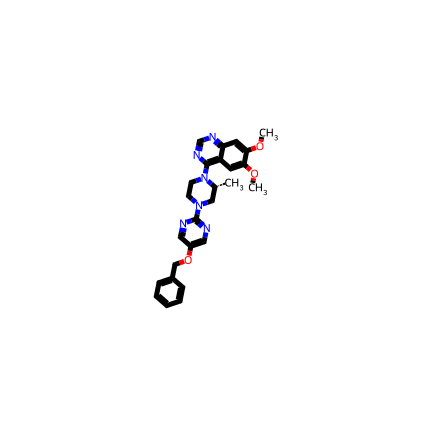 COc1cc2ncnc(N3CCN(c4ncc(OCc5ccccc5)cn4)C[C@H]3C)c2cc1OC